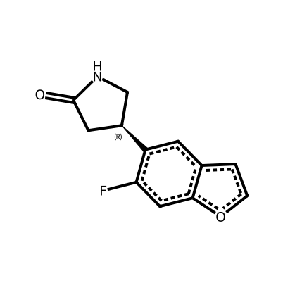 O=C1C[C@H](c2cc3ccoc3cc2F)CN1